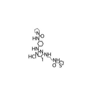 Cl.O=C(NCCCNc1nc(Nc2cccc(NC(=O)N3CCCC3)c2)ncc1I)c1cccs1